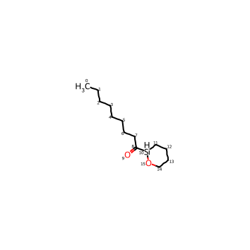 CCCCCCCCC(=O)[SiH]1CCCCO1